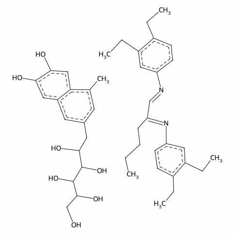 CCCCC(C=Nc1ccc(CC)c(CC)c1)=Nc1ccc(CC)c(CC)c1.Cc1cc(CC(O)C(O)C(O)C(O)CO)cc2cc(O)c(O)cc12